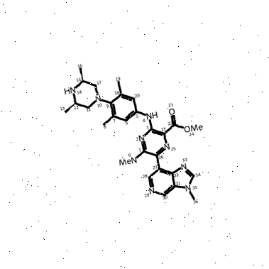 CNc1nc(Nc2cc(C)c(N3C[C@@H](C)N[C@@H](C)C3)c(C)c2)c(C(=O)OC)nc1-c1cncc2c1ncn2C